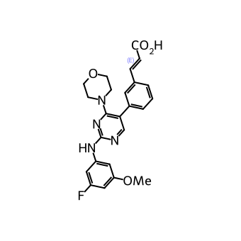 COc1cc(F)cc(Nc2ncc(-c3cccc(/C=C/C(=O)O)c3)c(N3CCOCC3)n2)c1